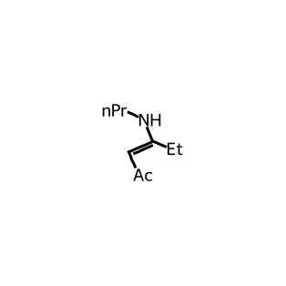 CCCNC(=CC(C)=O)CC